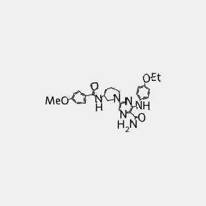 CCOc1ccc(Nc2nc(N3CCCC(NC(=O)c4ccc(OC)cc4)C3)cnc2C(N)=O)cc1